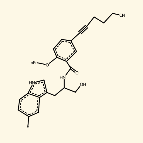 CCCOc1ccc(C#CCCCC#N)cc1C(=O)NC(CO)Cc1c[nH]c2ccc(F)cc12